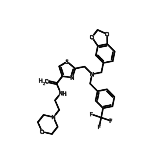 C=C(NCCN1CCOCC1)c1csc(CN(Cc2cccc(C(F)(F)F)c2)Cc2ccc3c(c2)OCO3)n1